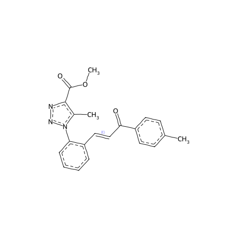 COC(=O)c1nnn(-c2ccccc2/C=C/C(=O)c2ccc(C)cc2)c1C